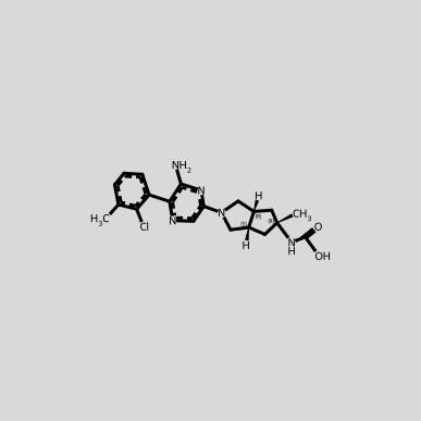 Cc1cccc(-c2ncc(N3C[C@@H]4C[C@](C)(NC(=O)O)C[C@@H]4C3)nc2N)c1Cl